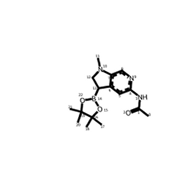 CC(=O)Nc1cc2c(cn1)N(C)CC2B1OC(C)(C)C(C)(C)O1